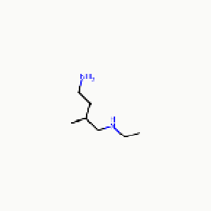 CCNCC(C)CCN